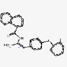 O=C(O)/C(=C/c1ccc(Oc2ccccc2I)cc1)NC(=O)c1cccc2ccccc12